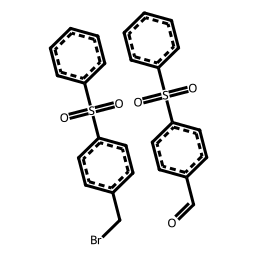 O=Cc1ccc(S(=O)(=O)c2ccccc2)cc1.O=S(=O)(c1ccccc1)c1ccc(CBr)cc1